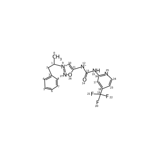 CC(Cc1ccccc1)[n+]1cc([N-]C(=O)Nc2cc(C(F)(F)F)ccn2)on1